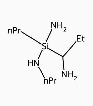 CCCN[Si](N)(CCC)C(N)CC